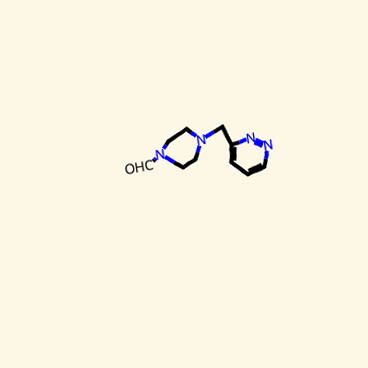 O=CN1CCN(Cc2cccnn2)CC1